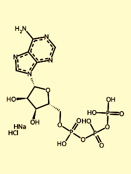 Cl.Nc1ncnc2c1ncn2[C@@H]1O[C@H](COP(=O)(O)OP(=O)(O)OP(=O)(O)O)[C@@H](O)[C@H]1O.[NaH]